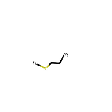 [CH2]CCCCSC[CH2]